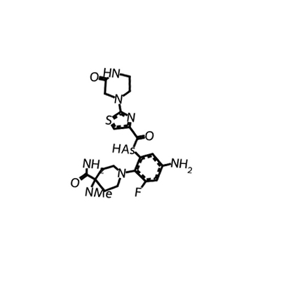 CNC1(C(N)=O)CCN(c2c(F)cc(N)cc2[AsH]C(=O)c2csc(N3CCNC(=O)C3)n2)CC1